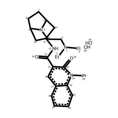 CCN(CC)CCN1C2CCC1CC(NC(=O)c1cc3ccccc3n(C(C)C)c1=O)C2.Cl.Cl